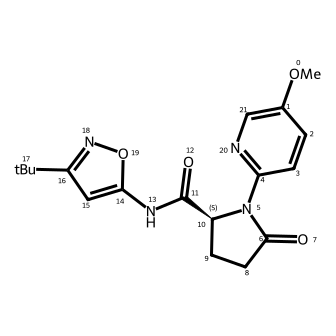 COc1ccc(N2C(=O)CC[C@H]2C(=O)Nc2cc(C(C)(C)C)no2)nc1